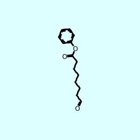 O=CCCCCCCC(=O)Oc1ccccc1